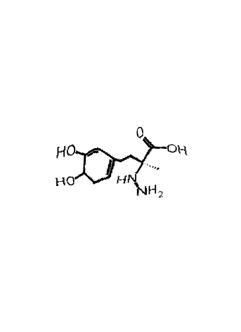 C[C@@](CC1=CCC(O)C(O)=C1)(NN)C(=O)O